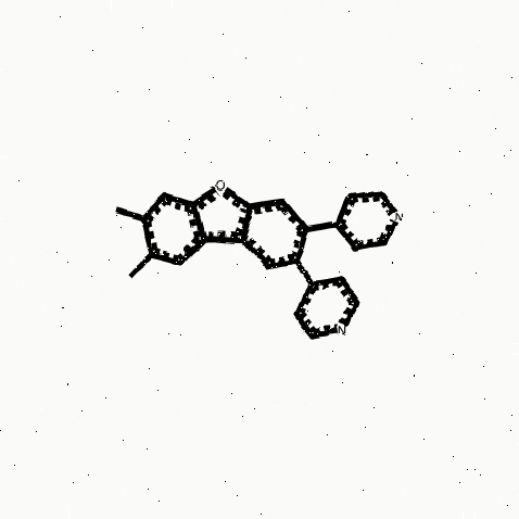 Cc1cc2oc3cc(-c4ccncc4)c(-c4ccncc4)cc3c2cc1C